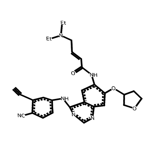 C#Cc1cc(Nc2ncnc3cc(OC4CCOC4)c(NC(=O)C=CCN(CC)CC)cc23)ccc1C#N